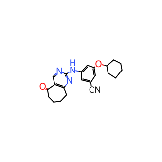 N#Cc1cc(Nc2ncc3c(n2)CCCCC3=O)cc(OC2CCCCC2)c1